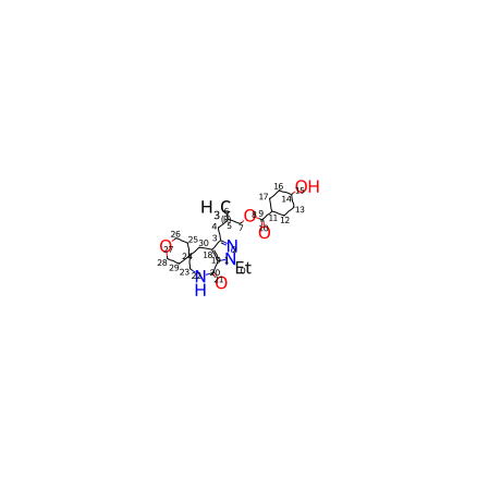 CCn1nc(C[C@@H](C)COC(=O)C2CCC(O)CC2)c2c1C(=O)NCC1(CCOCC1)C2